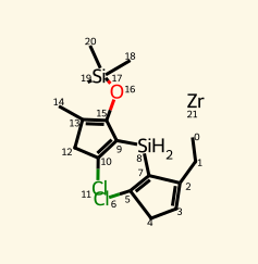 CCC1=CCC(Cl)=C1[SiH2]C1=C(Cl)CC(C)=C1O[Si](C)(C)C.[Zr]